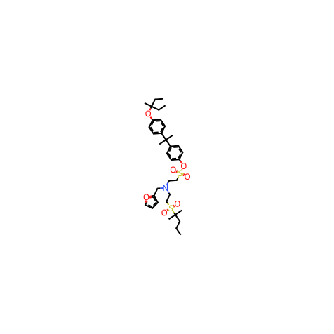 CCCC(C)(C)S(=O)(=O)CCN(CCS(=O)(=O)Oc1ccc(C(C)(C)c2ccc(OC(C)(CC)CC)cc2)cc1)Cc1ccco1